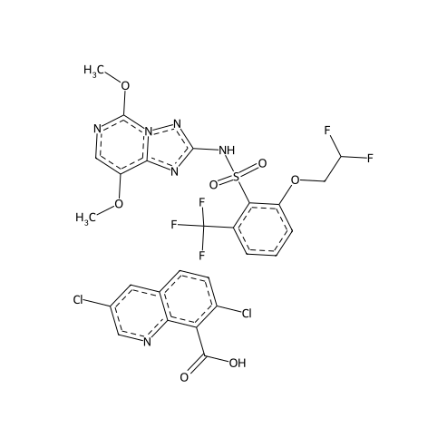 COc1cnc(OC)n2nc(NS(=O)(=O)c3c(OCC(F)F)cccc3C(F)(F)F)nc12.O=C(O)c1c(Cl)ccc2cc(Cl)cnc12